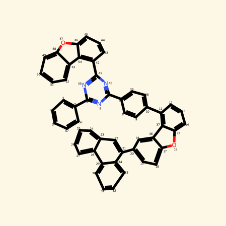 c1ccc(-c2nc(-c3ccc(-c4cccc5oc6ccc(-c7cc8ccccc8c8ccccc78)cc6c45)cc3)nc(-c3cccc4oc5ccccc5c34)n2)cc1